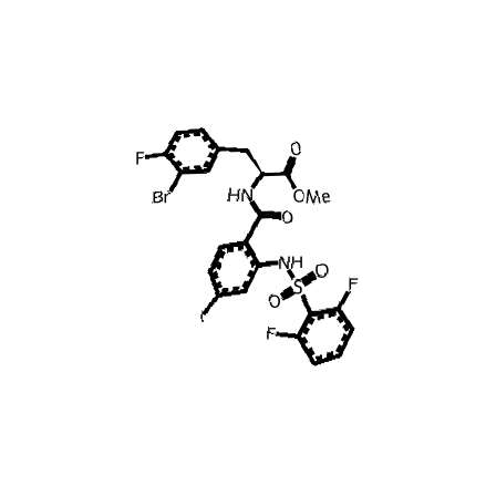 COC(=O)[C@H](Cc1ccc(F)c(Br)c1)NC(=O)c1ccc(I)cc1NS(=O)(=O)c1c(F)cccc1F